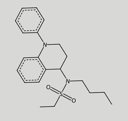 CCCCN(C1CCN(c2ccccc2)c2ccccc21)S(=O)(=O)CC